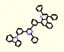 c1ccc(-c2cc(-c3ccccc3)c3c(n2)c(-c2cccc(-c4cc(-c5cccc(-n6c7ccccc7c7ccccc76)c5)nc(-c5ccccc5)n4)c2)cc2ccccc23)cc1